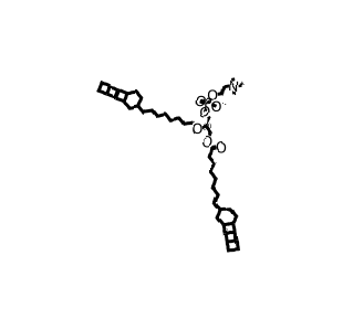 C[N+](C)(C)CCOP(=O)([O-])OC[C@@H](COC(=O)CCCCCCCC1CCC2C(C1)C1C3CCC3C21)OCCCCCCCCC1CCC2C(C1)C1C3CCC3C21